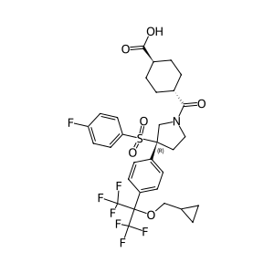 O=C(O)[C@H]1CC[C@H](C(=O)N2CC[C@](c3ccc(C(OCC4CC4)(C(F)(F)F)C(F)(F)F)cc3)(S(=O)(=O)c3ccc(F)cc3)C2)CC1